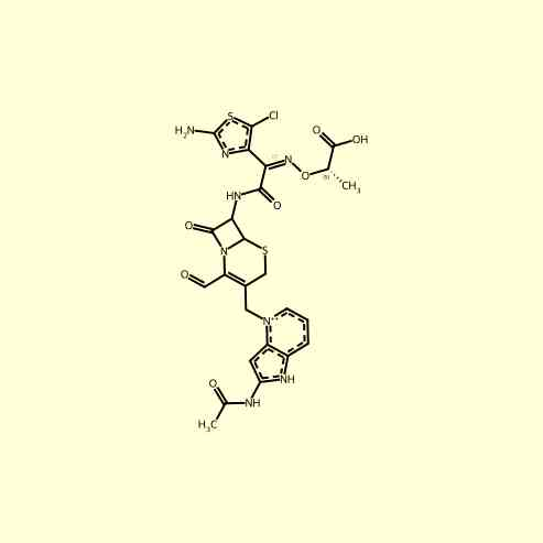 CC(=O)Nc1cc2c(ccc[n+]2CC2=C(C=O)N3C(=O)C(NC(=O)/C(=N\O[C@@H](C)C(=O)O)c4nc(N)sc4Cl)C3SC2)[nH]1